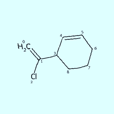 C=C(Cl)C1C=CCCC1